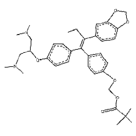 CCC(=C(c1ccc(OCOC(=O)C(C)(C)C)cc1)c1ccc(OC(CN(C)C)CN(C)C)cc1)c1ccc2c(c1)OCO2